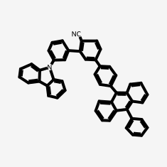 N#Cc1ccc(-c2ccc(-c3c4ccccc4c(-c4ccccc4)c4ccccc34)cc2)cc1-c1cccc(-n2c3ccccc3c3ccccc32)c1